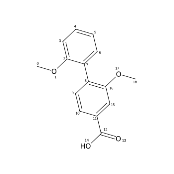 COc1ccccc1-c1ccc(C(=O)O)cc1OC